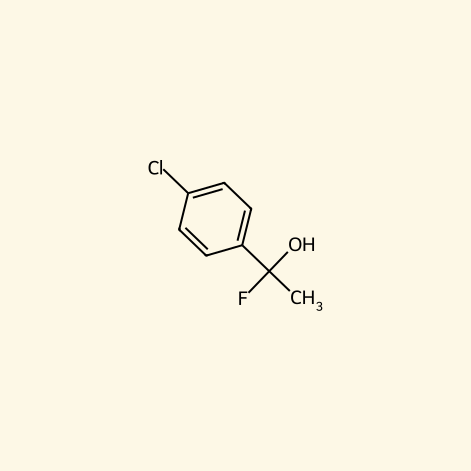 CC(O)(F)c1ccc(Cl)cc1